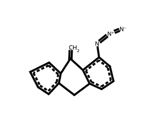 C=C1c2ccccc2Cc2cccc(N=[N+]=[N-])c21